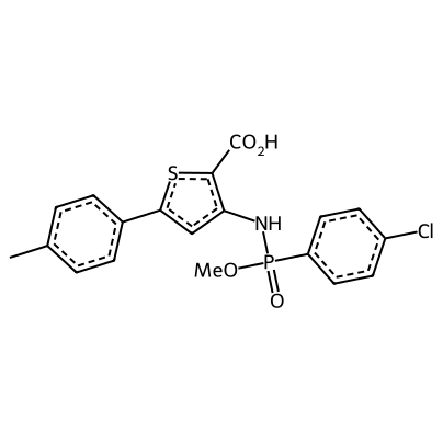 COP(=O)(Nc1cc(-c2ccc(C)cc2)sc1C(=O)O)c1ccc(Cl)cc1